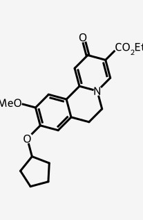 CCOC(=O)c1cn2c(cc1=O)-c1cc(OC)c(OC3CCCC3)cc1CC2